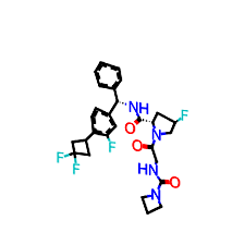 O=C(N[C@@H](c1ccccc1)c1ccc(C2CC(F)(F)C2)c(F)c1)[C@@H]1C[C@@H](F)CN1C(=O)CNC(=O)N1CCC1